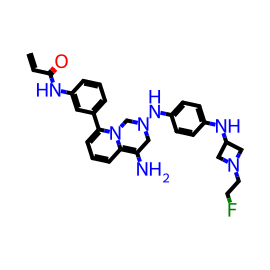 C=CC(=O)Nc1cccc(C2=CC=CC3=C(N)CN(Nc4ccc(NC5CN(CCF)C5)cc4)CN23)c1